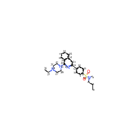 CCCN(C)S(=O)(=O)c1ccc(-c2cc3ccccc3c(N3CCN(CC)CC3)n2)cc1